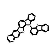 c1ccc2c(c1)oc1c(-n3c4ccccc4c4ccc5c6cc7nccnc7cc6oc5c43)cccc12